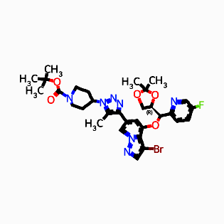 Cc1c(-c2cc(OC(c3ccc(F)cn3)[C@H]3COC(C)(C)O3)c3c(Br)cnn3c2)nnn1C1CCN(C(=O)OC(C)(C)C)CC1